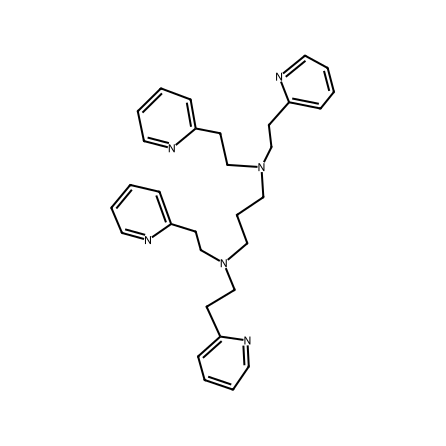 c1ccc(CCN(CCCN(CCc2ccccn2)CCc2ccccn2)CCc2ccccn2)nc1